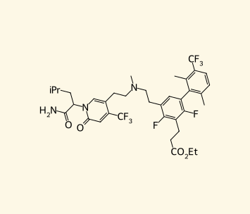 CCOC(=O)CCc1c(F)c(CCN(C)CCc2cn(C(CC(C)C)C(N)=O)c(=O)cc2C(F)(F)F)cc(-c2c(C)ccc(C(F)(F)F)c2C)c1F